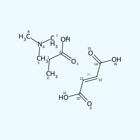 CCC(=O)O.CN(C)C.O=C(O)/C=C/C(=O)O